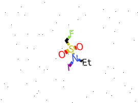 CCN(I)S(=O)(=O)CF